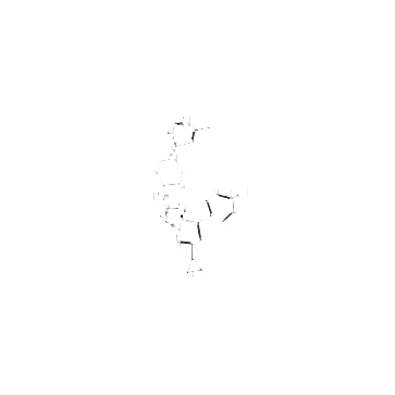 Cc1cc(N2CCC(Nc3nc4c(-c5ccc(Cl)cc5)cc(C5CC5)cn4n3)CC2)ncn1